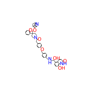 O=C(Cc1ccc(OCc2ccc(CNCC(O)c3ccc(O)c4[nH]c(=O)ccc34)cc2)cc1)N1CCC(C(=O)OC2CN3CCC2CC3)(c2ccccc2)CC1